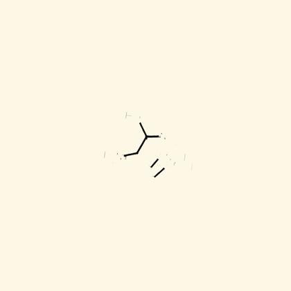 CC(=O)O.CC(=O)O.NCC(N)O